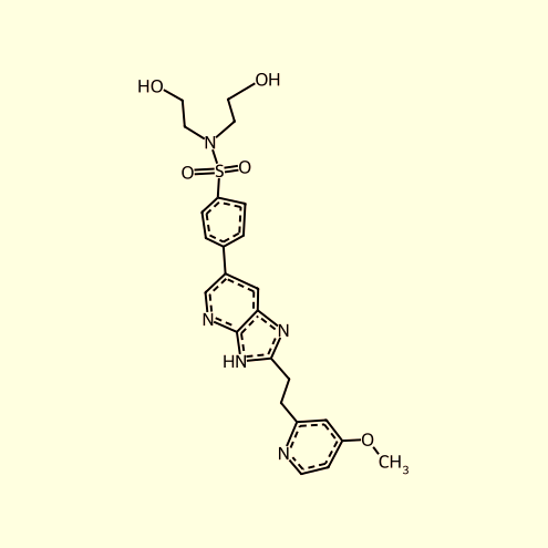 COc1ccnc(CCc2nc3cc(-c4ccc(S(=O)(=O)N(CCO)CCO)cc4)cnc3[nH]2)c1